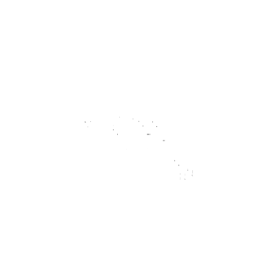 COC(=O)N1CCO[C@@H](Cc2c(-c3c(F)cc(-n4cnnc4)cc3F)nc3cc(C)ccn23)C1